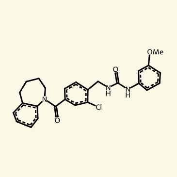 COc1cccc(NC(=O)NCc2ccc(C(=O)N3CCCCc4ccccc43)cc2Cl)c1